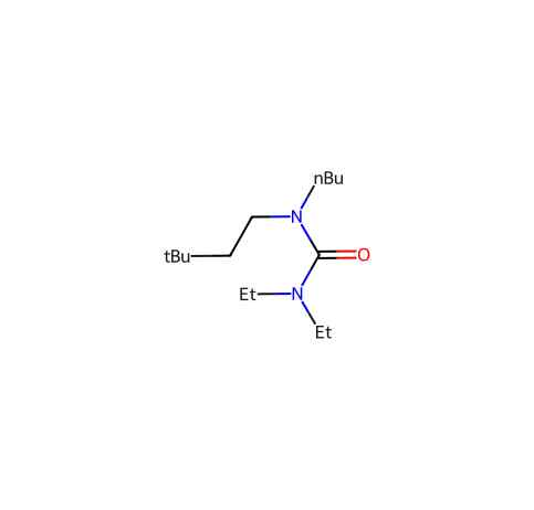 CCCCN(CCC(C)(C)C)C(=O)N(CC)CC